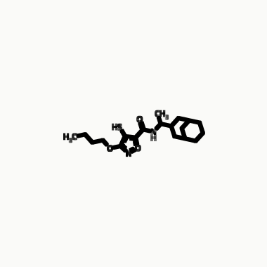 CCCCOc1noc(C(=O)NC(C)C2CC3CCCC(C3)C2)c1S